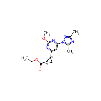 CCOC(=O)[C@@H]1C[C@H]1c1cc(-n2nc(C)nc2C)nc(OC)n1